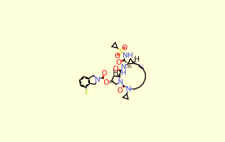 O=C1N[C@]2(C(=O)NS(=O)(=O)C3CC3)C[C@H]2/C=C\CCCCCN(C2CC2)C(=O)N2C[C@H](OC(=O)N3Cc4cccc(F)c4C3)C[C@@H]12